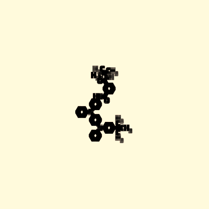 CC(C)(C)NC(=O)c1cccc(C(=O)Nc2ccc(N(c3ccccc3)c3ccc(N(c4ccccc4)c4ccc(C(C)(C)C)cc4)cc3)cc2)c1